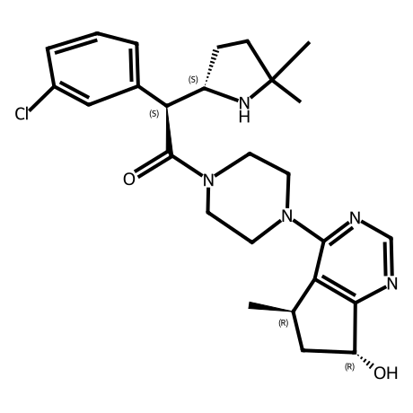 C[C@@H]1C[C@@H](O)c2ncnc(N3CCN(C(=O)[C@@H](c4cccc(Cl)c4)[C@@H]4CCC(C)(C)N4)CC3)c21